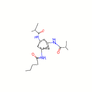 CCCCC(=O)Nc1cc(NC(=O)C(C)C)cc(NC(=O)C(C)C)c1